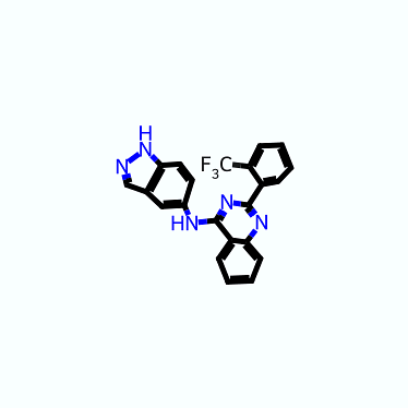 FC(F)(F)c1ccccc1-c1nc(Nc2ccc3[nH]ncc3c2)c2ccccc2n1